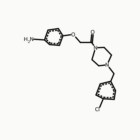 Nc1ccc(OCC(=O)N2CCN(Cc3ccc(Cl)cc3)CC2)cc1